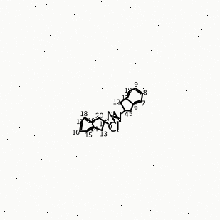 ClC1(/N=N/C2Cc3ccccc3C2)Cc2ccccc2C1